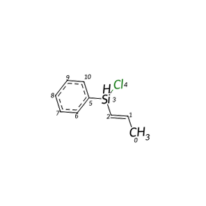 CC=C[SiH](Cl)c1ccccc1